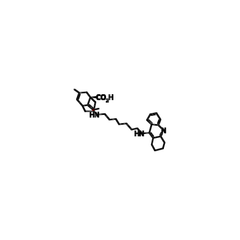 C/C=C1/C2C=C(C)C[C@]1(C(=O)O)CC(NCCCCCCCNc1c3c(nc4ccccc14)CCCC3)C2